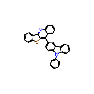 c1ccc(-n2c3ccccc3c3cc(-c4c5ccccc5nc5c4sc4ccccc45)ccc32)cc1